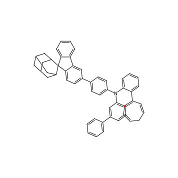 C1=CCC=CC(c2ccccc2N(c2ccc(-c3ccc4c(c3)-c3ccccc3C43C4CC5CC(C4)CC3C5)cc2)c2cccc(-c3ccccc3)c2)=C1